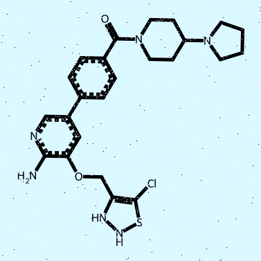 Nc1ncc(-c2ccc(C(=O)N3CCC(N4CCCC4)CC3)cc2)cc1OCC1=C(Cl)SNN1